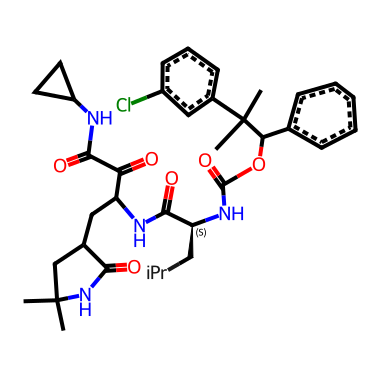 CC(C)C[C@H](NC(=O)OC(c1ccccc1)C(C)(C)c1cccc(Cl)c1)C(=O)NC(CC1CC(C)(C)NC1=O)C(=O)C(=O)NC1CC1